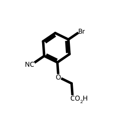 N#Cc1ccc(Br)cc1OCC(=O)O